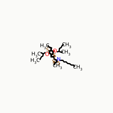 CCCCCCCCc1nc2c(-c3cc4c(OCC(CC)CCCC)c5sc(C)cc5c(OCC(CC)CCCC)c4s3)sc(C)c2s1